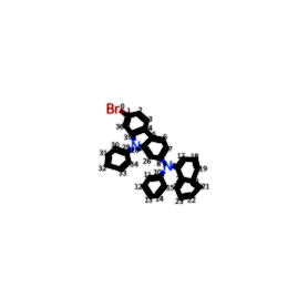 Brc1ccc2c3ccc(N(c4ccccc4)c4cccc5ccccc45)cc3n(-c3ccccc3)c2c1